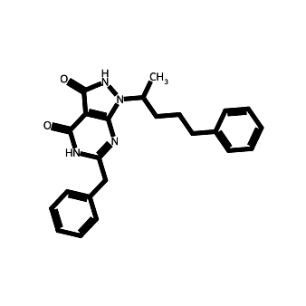 CC(CCCc1ccccc1)n1[nH]c(=O)c2c(=O)[nH]c(Cc3ccccc3)nc21